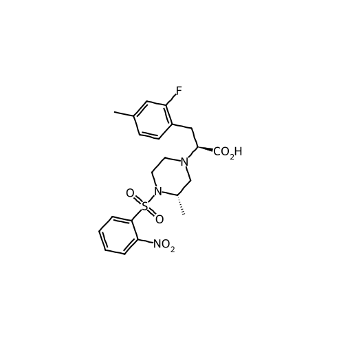 Cc1ccc(C[C@@H](C(=O)O)N2CCN(S(=O)(=O)c3ccccc3[N+](=O)[O-])[C@@H](C)C2)c(F)c1